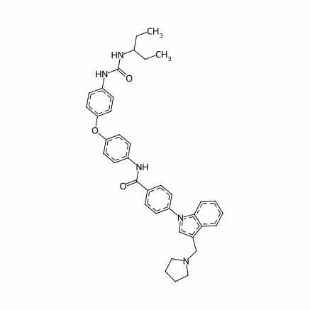 CCC(CC)NC(=O)Nc1ccc(Oc2ccc(NC(=O)c3ccc(-n4cc(CN5CCCC5)c5ccccc54)cc3)cc2)cc1